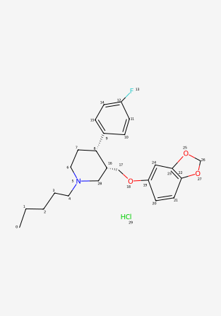 CCCCCN1CC[C@H](c2ccc(F)cc2)[C@H](COc2ccc3c(c2)OCO3)C1.Cl